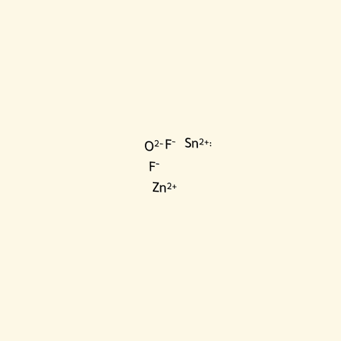 [F-].[F-].[O-2].[Sn+2].[Zn+2]